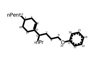 CCCCCC1CC=C(C(CCC)CCCOc2ccccc2)CC1